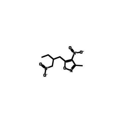 CCC(Cc1onc(C)c1[N+](=O)[O-])C[N+](=O)[O-]